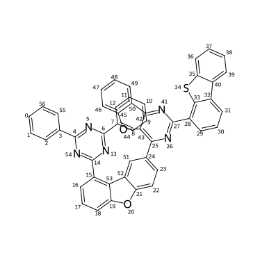 c1ccc(-c2nc(-c3ccccc3)nc(-c3cccc4oc5ccc(-c6nc(-c7cccc8c7sc7ccccc78)nc7c6oc6ccccc67)cc5c34)n2)cc1